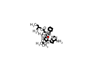 CCC(CC)COC(=O)[C@H](C)N[P@@](=O)(Oc1ccccc1)O[C@@]1(CF)O[C@@H](c2ccc3c(N)ncnn23)[C@@H]2OC(C)(C)O[C@@H]21